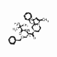 CC1=CC(=O)[C@]2(Cc3ccccc3)CN(C(=O)[C@@H](COCc3ccccc3)NC(=O)C(C)(C)N)CCN12